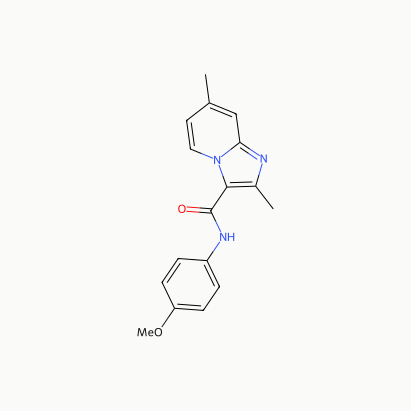 COc1ccc(NC(=O)c2c(C)nc3cc(C)ccn23)cc1